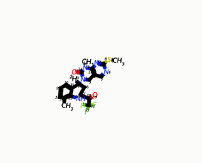 [2H]C1(N2Cc3cnc(SC)nc3N(C)C2=O)CC(C(=O)C(F)(F)F)Nc2c(C)cccc21